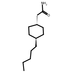 CCCCC[C@H]1CC[C@H](CC(N)=O)CC1